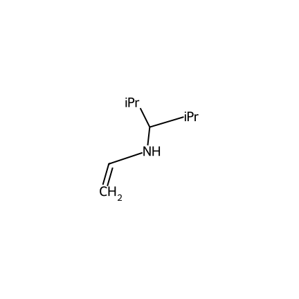 C=CNC(C(C)C)C(C)C